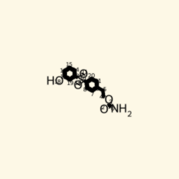 NC(=O)OCCc1ccc(S(=O)(=O)c2cccc(O)c2)cc1